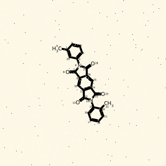 Cc1cccc(-n2c(=O)c3cc4c(=O)n(-c5ccccc5C)c(=O)c4cc3c2=O)c1